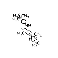 Cc1nc(C(=O)O)cnc1N1CCN(C(=O)Nc2ccc([Si](C)(C)C)cc2)C(C)C1